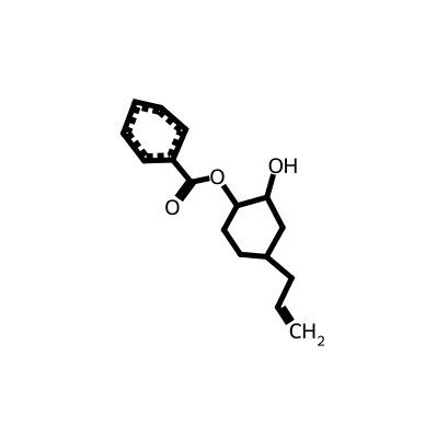 C=CCC1CCC(OC(=O)c2ccccc2)C(O)C1